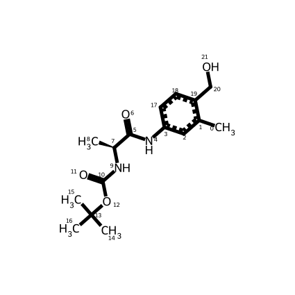 Cc1cc(NC(=O)[C@H](C)NC(=O)OC(C)(C)C)ccc1CO